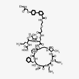 CCCCCCCCCCC(=O)N[C@@H](CCN)C(=O)N[C@H](C(=O)N[C@@H](CCNC(=O)CCOCCNC(=O)c1cccc(-c2ccc(OCC(=O)NCC)cc2)c1)C(=O)N[C@H]1CCNC(=O)[C@H]([C@@H](C)O)NC(=O)[C@H](CCN)NC(=O)[C@H](CCN)NC(=O)[C@H](CC(C)C)NC(O)[C@@H](Cc2ccccc2)NC(=O)[C@H](CCN)NC1=O)[C@@H](C)O